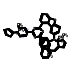 C=C/C=C(\C=C/[C@@H](C)C1=CC=CC1)c1nc(-c2ccc3ccccc3c2)nc(-c2cccc3oc4ccc(N5c6ccccc6C(=C)C=C6C=C[C@@H](C)C65C)cc4c23)n1